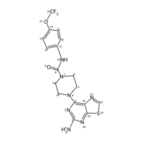 Nc1nc(N2CCN(C(=O)Nc3ccc(OC(F)(F)F)cc3)CC2)c2ncsc2n1